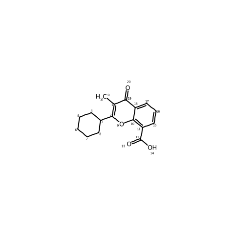 Cc1c(C2CCCCC2)oc2c(C(=O)O)cccc2c1=O